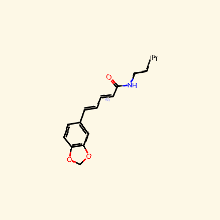 CC(C)CCNC(=O)/C=C/C=Cc1ccc2c(c1)OCO2